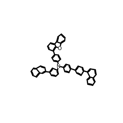 c1cc(-c2ccc3ccccc3c2)cc(N(c2ccc(-c3ccc(-c4cccc5ccccc45)cc3)cc2)c2ccc(-c3cccc4c3oc3ccccc34)cc2)c1